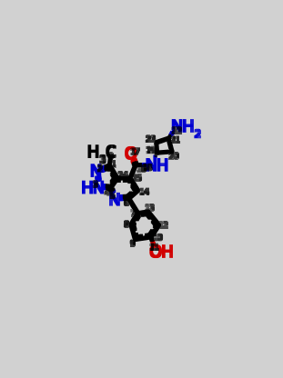 Cc1n[nH]c2nc(-c3ccc(O)cc3)cc(C(=O)N[C@H]3C[C@H](N)C3)c12